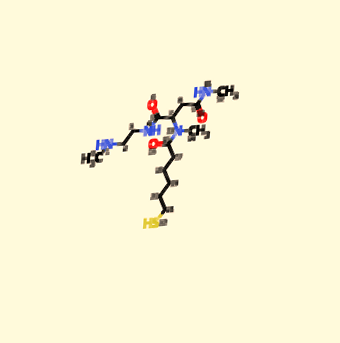 CNCCNC(=O)C(CC(=O)NC)N(C)C(=O)CCCCCS